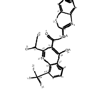 O=C(Nc1nc2ccccc2s1)c1c(C(Cl)Cl)nc2c(C(F)(F)F)cccc2c1O